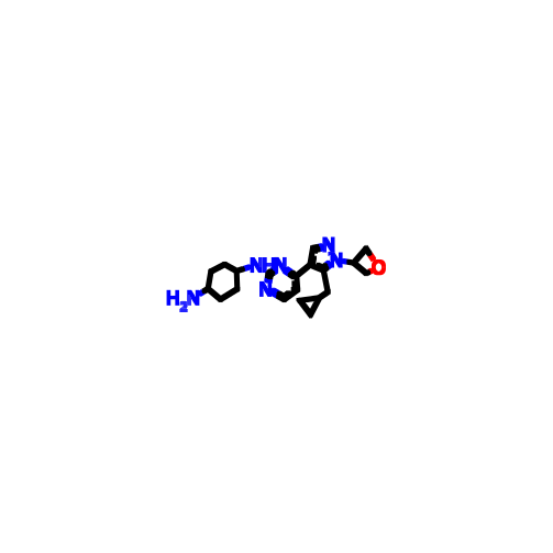 NC1CCC(Nc2nccc(-c3cnn(C4COC4)c3CC3CC3)n2)CC1